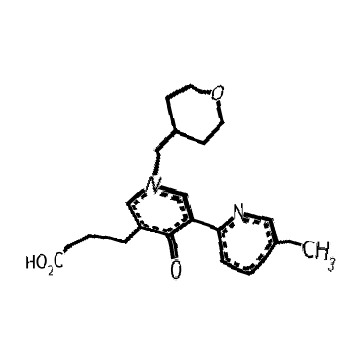 Cc1ccc(-c2cn(CC3CCOCC3)cc(CCC(=O)O)c2=O)nc1